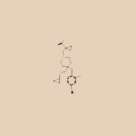 C=C(C)C1(CN2CCC(CNC3CC3)(Cc3ccc(C#N)cc3F)CC2)CC1